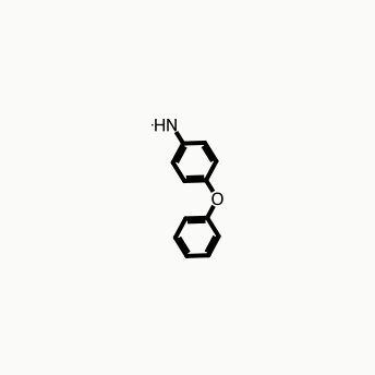 [NH]c1ccc(Oc2ccccc2)cc1